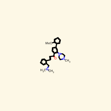 COc1ccccc1-c1ccc(C(=O)/C=C/c2ccccc2CN(C)C)c(N2CCN(C)CC2)c1